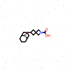 O=C(O)N1CC2(CC(CB3C4CCCC3CCC4)C2)C1